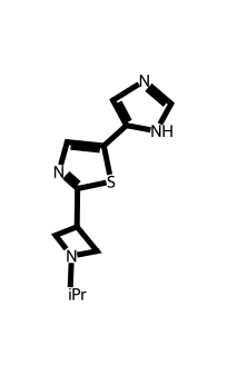 CC(C)N1CC(c2ncc(-c3cnc[nH]3)s2)C1